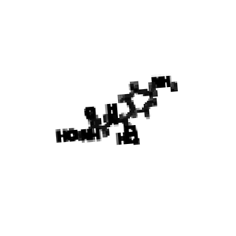 Cl.Nc1ccc(C(=O)NCC(=O)NO)cc1